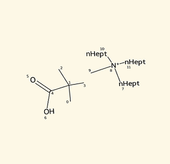 CC(C)(C)C(=O)O.CCCCCCC[N+](C)(CCCCCCC)CCCCCCC